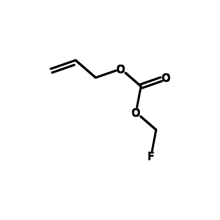 C=CCOC(=O)OCF